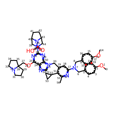 COc1ccc(CN(Cc2ccc(OC)cc2)c2cc(Cn3cnc4c(OCC56CCCN5CCC6)nc(N5CC6CCC(C5)N6C(=O)O)nc43)c(C3CC3)c(C)n2)cc1